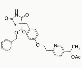 CC(=O)O[C@@H](C)c1ccc(CCOc2ccc(CC3(C(=O)OCc4ccccc4)SC(=O)NC3=O)cc2)nc1